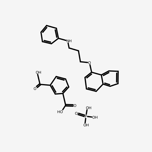 O=C(O)c1cccc(C(=O)O)c1.O=P(O)(O)O.c1ccc(NCCCOc2cccc3ccccc23)cc1